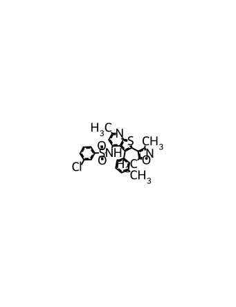 Cc1cccc(-c2c(-c3c(C)noc3C)sc3nc(C)cc(NS(=O)(=O)c4cccc(Cl)c4)c23)c1